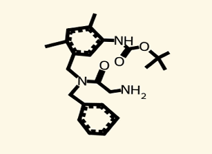 Cc1cc(C)c(NC(=O)OC(C)(C)C)cc1CN(Cc1ccccc1)C(=O)CN